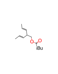 CC=CC(C=CC)COC(=O)C(C)CC